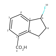 O=C(O)c1cccc2c1CCC2F